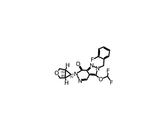 O=c1c2nn(Cc3ccccc3F)c(OC(F)F)c2cnn1[C@@H]1[C@@H]2COC[C@@H]21